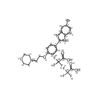 Brc1cnc2[nH]c(-c3ccc(OCCN4CCOCC4)cc3)nc2c1.O=C(O)C(F)(F)F.O=C(O)C(F)(F)F